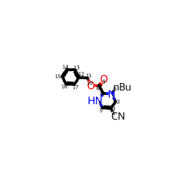 CCCCN1CC(C#N)=CNC1C(=O)OCc1ccccc1